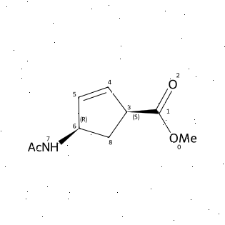 COC(=O)[C@@H]1C=C[C@H](NC(C)=O)C1